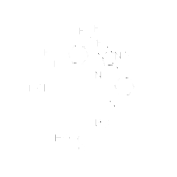 CCN(C[C@H]1CC[C@H](C(=O)O)CC1)c1cc2c(cc1CN(Cc1cc(C(F)(F)F)cc(C(F)(F)F)c1)c1nnn(C)n1)CCC2.Cl